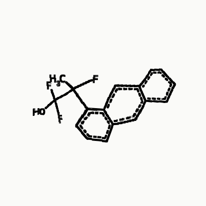 CC(F)(c1cccc2cc3ccccc3cc12)C(O)(F)F